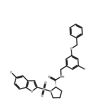 O=C(NCc1cc(F)cc(OCc2ccccc2)c1)[C@@H]1CCCN1S(=O)(=O)c1cc2cc(F)ccc2o1